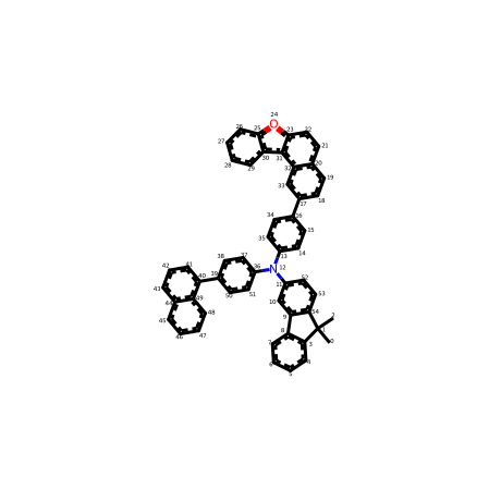 CC1(C)c2ccccc2-c2cc(N(c3ccc(-c4ccc5ccc6oc7ccccc7c6c5c4)cc3)c3ccc(-c4cccc5ccccc45)cc3)ccc21